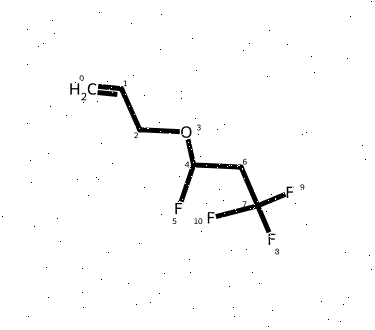 C=CCOC(F)CC(F)(F)F